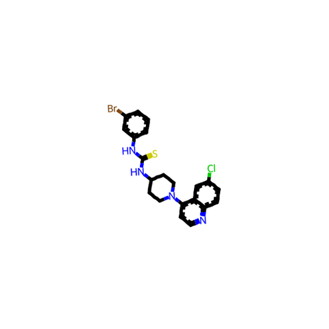 S=C(Nc1cccc(Br)c1)NC1CCN(c2ccnc3ccc(Cl)cc23)CC1